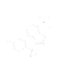 OC1(c2cccn3c(C4(c5ccc(Cl)cc5)CC4)nnc23)CCC1